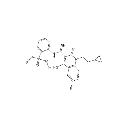 CCOP(=O)(OCC)c1ccccc1NC(=N)c1c(O)c2cc(F)ccc2n(CCC2CC2)c1=O